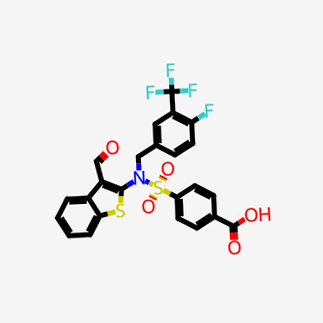 O=Cc1c(N(Cc2ccc(F)c(C(F)(F)F)c2)S(=O)(=O)c2ccc(C(=O)O)cc2)sc2ccccc12